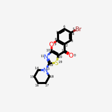 O=c1c2cc(Br)ccc2oc2nc(N3CCCCC3)sc12